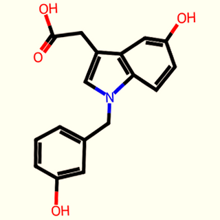 O=C(O)Cc1cn(Cc2cccc(O)c2)c2ccc(O)cc12